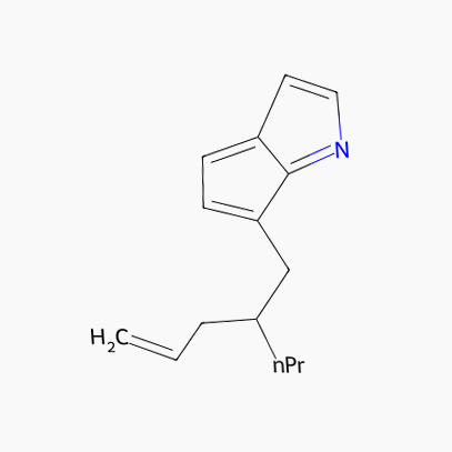 C=CCC(CCC)CC1=CC=C2C=CN=C21